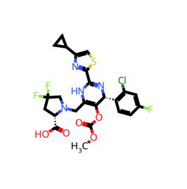 COC(=O)OC1=C(CN2CC(F)(F)C[C@H]2C(=O)O)NC(c2nc(C3CC3)cs2)=N[C@@H]1c1ccc(F)cc1Cl